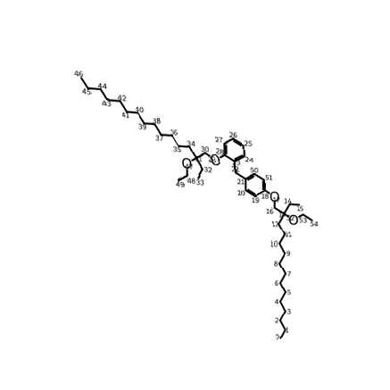 CCCCCCCCCCCCCC(CC)(COc1ccc(Cc2ccccc2OCC(CC)(CCCCCCCCCCCCC)OCC)cc1)OCC